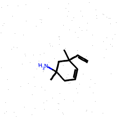 C=CC1(C)C=CCC(C)(N)C1